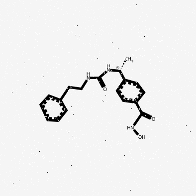 C[C@@H](NC(=O)NCCc1ccccc1)c1ccc(C(=O)NO)cc1